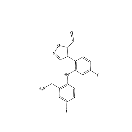 NCc1cc(I)ccc1Nc1cc(F)ccc1C1C=NOC1C=O